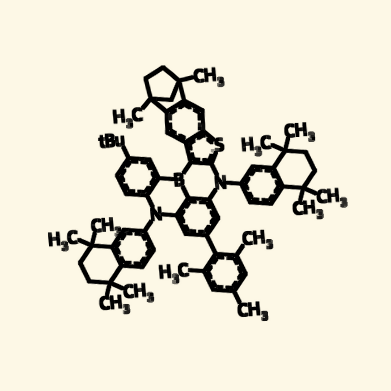 Cc1cc(C)c(-c2cc3c4c(c2)N(c2ccc5c(c2)C(C)(C)CCC5(C)C)c2sc5cc6c(cc5c2B4c2cc(C(C)(C)C)ccc2N3c2ccc3c(c2)C(C)(C)CCC3(C)C)C2(C)CCC6(C)C2)c(C)c1